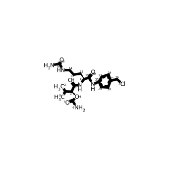 CC(C)[C@H](OC(N)=O)C(=O)N[C@@H](CCCNC(N)=O)C(=O)Nc1ccc(CCl)cc1